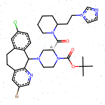 CC(C)(C)OC(=O)N1CCN(C2c3ccc(Cl)cc3CCc3cc(Br)cnc32)C[C@@H]1C(=O)N1CCCCC1CCn1ccnc1